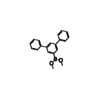 COB(OC)c1cc(-c2ccccc2)cc(-c2ccccc2)c1